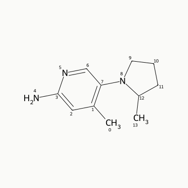 Cc1cc(N)ncc1N1CCCC1C